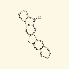 CCn1c2ccccc2c2cc3c(cc21)-c1cc2ccccc2cc1C3